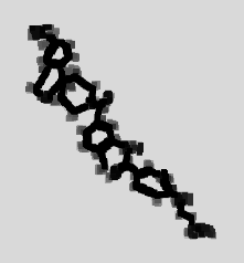 COCCNc1ccc(C(=O)Nc2cc(C(=O)N3CCC4(CC3)OCc3cc(C#N)ccc34)ccc2C)cn1